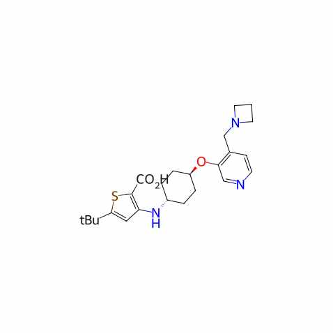 CC(C)(C)c1cc(N[C@H]2CC[C@H](Oc3cnccc3CN3CCC3)CC2)c(C(=O)O)s1